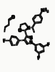 CC(c1ccc(N)cc1)N1CCOC1c1nn(-c2cc(F)cc(F)c2)cc1-c1ccc(F)cc1.CCCC=O